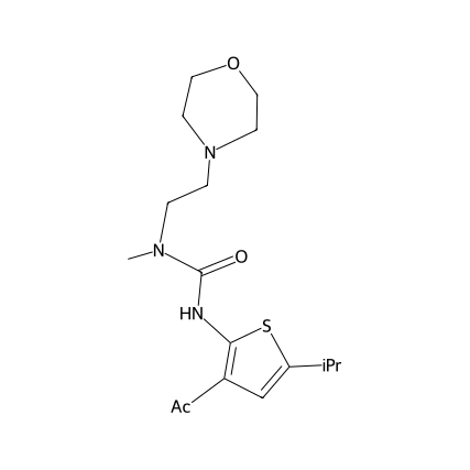 CC(=O)c1cc(C(C)C)sc1NC(=O)N(C)CCN1CCOCC1